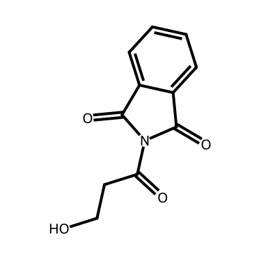 O=C(CCO)N1C(=O)c2ccccc2C1=O